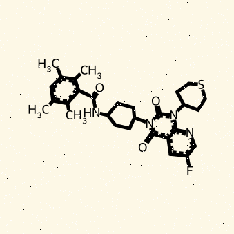 Cc1cc(C)c(C)c(C(=O)NC2CCC(n3c(=O)c4cc(F)cnc4n(C4CCSCC4)c3=O)CC2)c1C